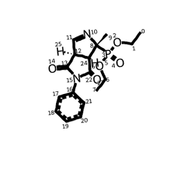 CCOP(=O)(OCC)[C@@]1(C)N=C[C@@H]2C(=O)N(c3ccccc3)C(=O)[C@@H]21